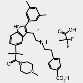 Cc1cc(C)cc(-c2[nH]c3ccc(C(C)(C)C(=O)N4CCN(C)CC4)cc3c2[C@H](C)CNCCc2ccc(C(=O)O)cc2)c1.O=C(O)C(F)(F)F